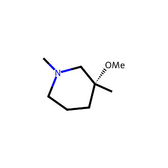 CO[C@]1(C)CCCN(C)C1